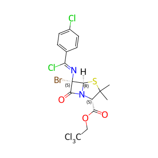 CC1(C)S[C@H]2N(C(=O)[C@@]2(Br)N=C(Cl)c2ccc(Cl)cc2)[C@H]1C(=O)OCC(Cl)(Cl)Cl